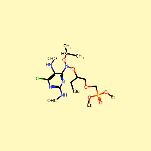 CCOP(=O)(COCC(CC(C)(C)C)ON(O[SiH](C)C)c1nc(NC=O)nc(Cl)c1NC=O)OCC